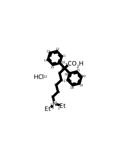 CCN(CC)CCCCCC(C(=O)O)(c1ccccc1)c1ccccc1.Cl